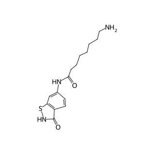 NCCCCCCCC(=O)Nc1ccc2c(=O)[nH]sc2c1